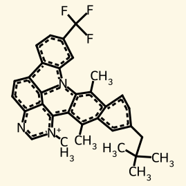 Cc1c2cc(CC(C)(C)C)ccc2c(C)c2c1c1c3c(ccc4c5ccc(C(F)(F)F)cc5n2c43)nc[n+]1C